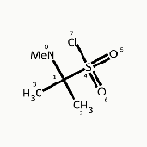 CNC(C)(C)S(=O)(=O)Cl